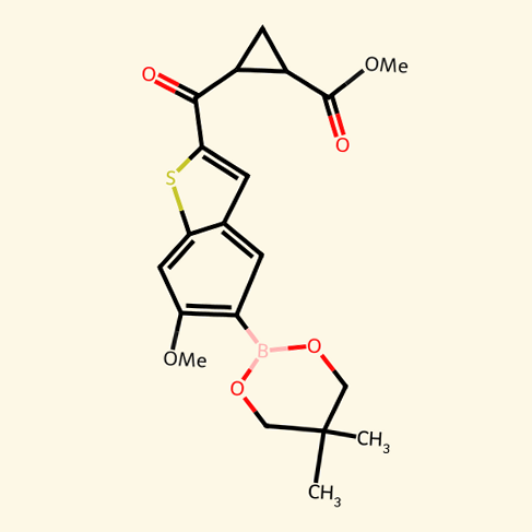 COC(=O)C1CC1C(=O)c1cc2cc(B3OCC(C)(C)CO3)c(OC)cc2s1